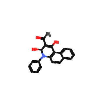 O=C(C1=C(O)c2c(ccc3ccccc23)N(c2ccccc2)C1O)C(F)(F)F